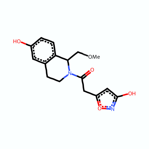 COCC1c2ccc(O)cc2CCN1C(=O)Cc1cc(O)no1